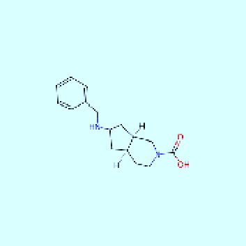 O=C(O)N1CC[C@H]2CC(NCc3ccccc3)C[C@H]2C1